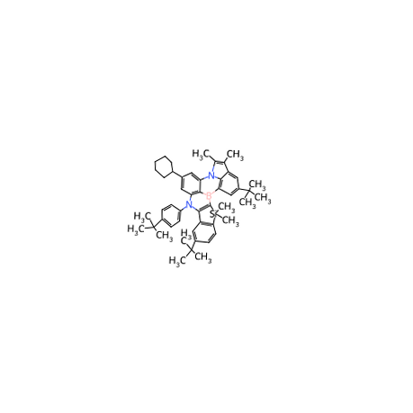 Cc1c(C)n2c3c(cc(C(C)(C)C)cc13)B1C3=C(c4cc(C(C)(C)C)ccc4[Si]3(C)C)N(c3ccc(C(C)(C)C)cc3)c3cc(C4CCCCC4)cc-2c31